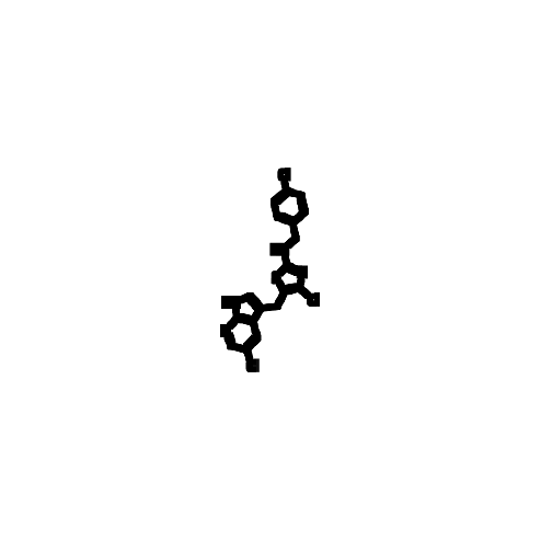 Clc1ccc(CNc2nc(Cl)c(Cc3c[nH]c4ncc(Cl)cc34)s2)cc1